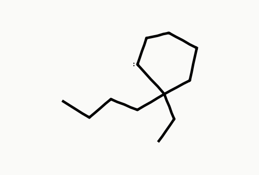 CCCCC1(CC)[C]CCCC1